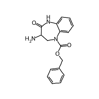 NC1CN(C(=O)OCc2ccccc2)c2ccccc2NC1=O